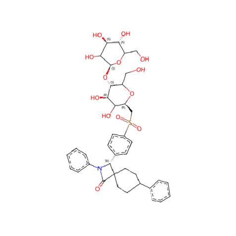 O=C1N(c2ccccc2)[C@H](c2ccc(S(=O)(=O)C[C@@H]3OC(CO)[C@@H](O[C@@H]4OC(CO)[C@@H](O)[C@H](O)C4O)[C@H](O)C3O)cc2)C12CCC(c1ccccc1)CC2